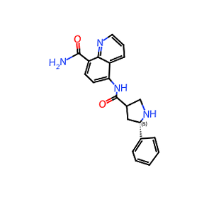 NC(=O)c1ccc(NC(=O)C2CN[C@H](c3ccccc3)C2)c2cccnc12